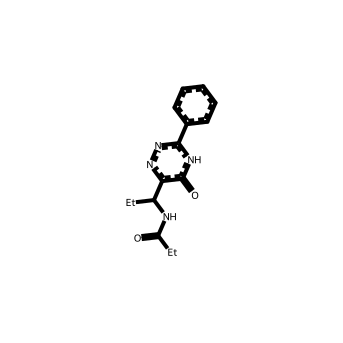 CCC(=O)NC(CC)c1nnc(-c2ccccc2)[nH]c1=O